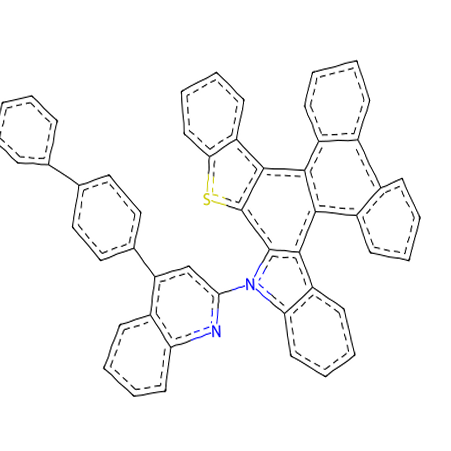 c1ccc(-c2ccc(-c3cc(-n4c5ccccc5c5c6c7ccccc7c7ccccc7c6c6c7ccccc7sc6c54)nc4ccccc34)cc2)cc1